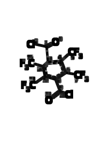 O=C(Cl)c1c(C(F)(F)F)c(C(F)(F)F)c(C(=O)Cl)c(C(F)(F)F)c1C(F)(F)F